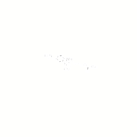 CC(C)(C)C(=O)OCCCCC1(CO)Nc2ccc(CN)cc2N1